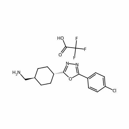 NC[C@H]1CC[C@H](c2nnc(-c3ccc(Cl)cc3)o2)CC1.O=C(O)C(F)(F)F